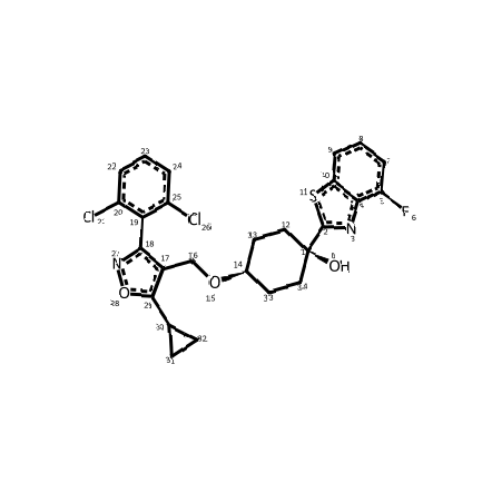 O[C@]1(c2nc3c(F)cccc3s2)CC[C@H](OCc2c(-c3c(Cl)cccc3Cl)noc2C2CC2)CC1